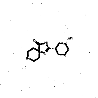 CCC[C@@H]1CCC[C@H](C2=NC3(CCNCC3)C(=O)N2)C1